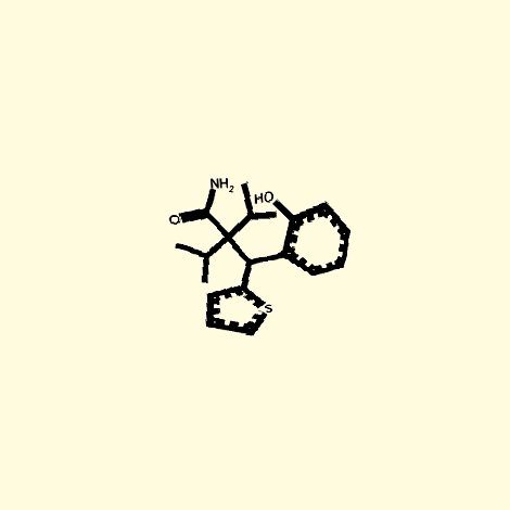 CC(C)C(C(N)=O)(C(C)C)C(c1cccs1)c1ccccc1O